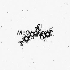 COc1cc(-c2sc(Cl)cc2NC(=O)O[C@H](C)c2ccc(F)cc2)ccc1-c1ccc(C2CC2)cc1